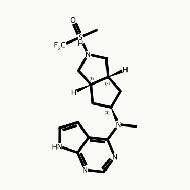 CN(c1ncnc2[nH]ccc12)[C@H]1C[C@@H]2CN([SH](C)(=O)C(F)(F)F)C[C@@H]2C1